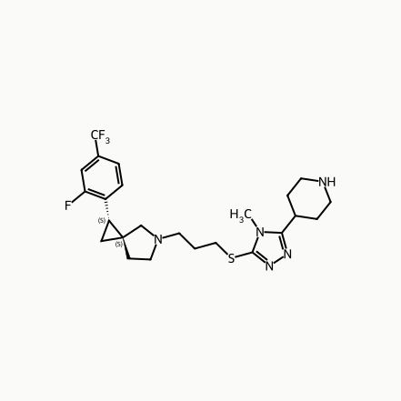 Cn1c(SCCCN2CC[C@]3(C[C@@H]3c3ccc(C(F)(F)F)cc3F)C2)nnc1C1CCNCC1